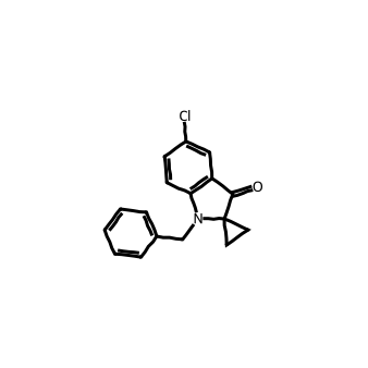 O=C1c2cc(Cl)ccc2N(Cc2ccccc2)C12CC2